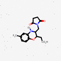 CCN1c2cc(C(F)(F)F)ccc2OC(CC(=O)O)C1CN1C(=O)CCC1=O